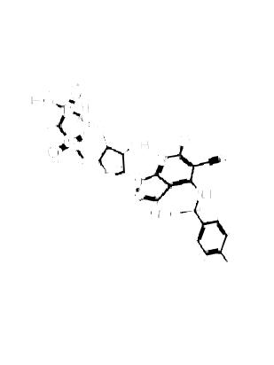 C[C@@H](Nc1c(C#N)c(Cl)nc2c1cnn2[C@@H]1O[C@H](CS(=O)(=O)CP(=O)(O)O)[C@@H](O)[C@H]1O)c1ccc(F)cc1